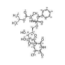 CC(C)OC(=O)[C@@H](C)N[P@@](=O)(OC[C@H]1O[C@@H](n2cc(Cl)c(=O)[nH]c2=O)[C@](C)(O)[C@@H]1O)Oc1ccccc1